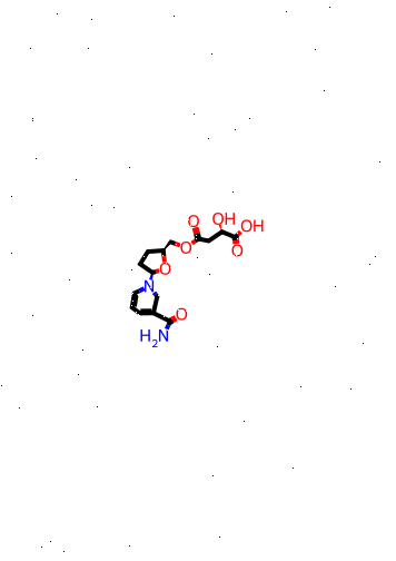 NC(=O)C1=CC=CN([C@H]2CC[C@@H](COC(=O)C[C@H](O)C(=O)O)O2)C1